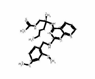 CCCC[C@](C)(CNC(C)=O)Nc1nc(NCc2ccc(OC)cc2OC)nc2ncccc12